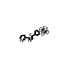 CCS(=O)(=O)Oc1ccc(-c2cnc(-c3cccnc3)s2)cc1